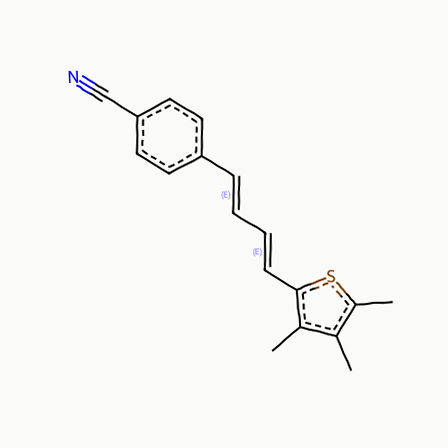 Cc1sc(/C=C/C=C/c2ccc(C#N)cc2)c(C)c1C